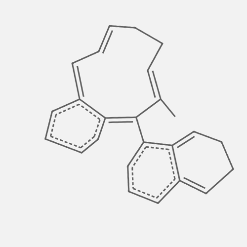 CC1=C/CC/C=C/C=c2/cccc/c2=C/1c1cccc2c1=CCCC=2